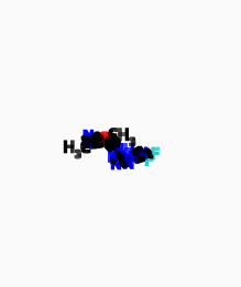 Cc1cc(Nc2ncnc3cnc(N4CCN(CC(F)F)CC4)nc23)ccc1Oc1ccc2c(c1)ncn2C